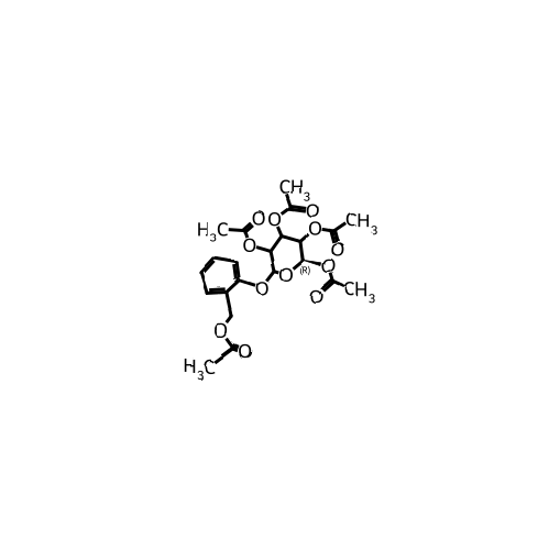 CC(=O)OCc1ccccc1OC1O[C@H](OC(C)=O)C(OC(C)=O)C(OC(C)=O)C1OC(C)=O